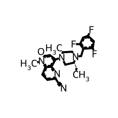 CC[C@@H]1CN(c2cc(=O)n(C)c3ccc(C#N)nc23)[C@@H](C)CN1Cc1c(F)cc(F)cc1F